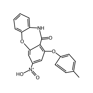 Cc1ccc(Oc2cc([N+](=O)O)cc3c2C(=O)Nc2ccccc2O3)cc1